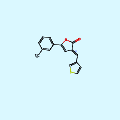 O=C1OC(c2cccc(C(F)(F)F)c2)=C/C1=C\c1ccsc1